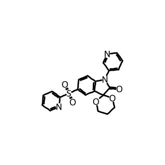 O=C1N(c2cccnc2)c2ccc(S(=O)(=O)c3ccccn3)cc2C12OCCCO2